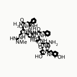 CNC(=N)NCCC[C@H](NC(=O)[C@H](CC(C)C)NC(=O)NNC(=O)[C@H](Cc1ccccc1)NC(=O)[C@@H](NC(=O)[C@H](CC(N)=O)NC(=O)[C@@H]1C[C@@H](O)CN1C(=O)[C@H](N)Cc1ccc(O)cc1)[C@@H](C)O)C(=O)N[C@@H](Cc1c[nH]c2ccccc12)C(N)=O